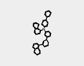 C1=CC(c2cccc3ccccc23)=CC(c2cccc(N(c3ccc(-c4ccccc4)cc3)c3cccc4ccccc34)c2)C1